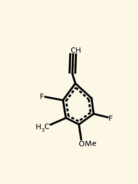 C#Cc1cc(F)c(OC)c(C)c1F